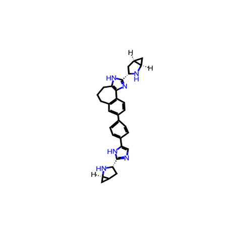 c1cc(-c2cnc([C@@H]3CC4C[C@H]4N3)[nH]2)ccc1-c1ccc2c(c1)CCCc1[nH]c([C@@H]3C[C@H]4C[C@H]4N3)nc1-2